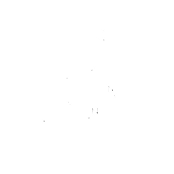 C=C1C(=O)N(C)N(C)C1=O